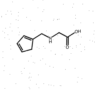 O=C(O)CNCC1=CC=CC1